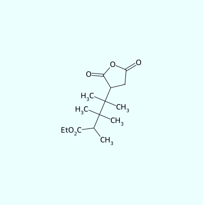 CCOC(=O)C(C)C(C)(C)C(C)(C)C1CC(=O)OC1=O